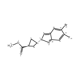 COC(=O)[C@H]1C[C@H](n2cc3cc(Br)c(F)cc3n2)C1